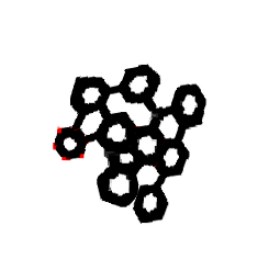 c1ccc(-c2ccc(-c3ccccc3N(c3cccc(-c4cccc(-c5ccccc5)c4-c4ccccc4-c4ccccc4)c3)c3ccc4c(c3)oc3ccccc34)cc2)cc1